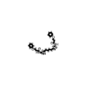 O=C(CCOc1ccccc1)Nc1nnc(CCCCc2nnc(NC(=O)CCOc3ccccc3)s2)s1